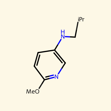 COc1ccc(NCC(C)C)cn1